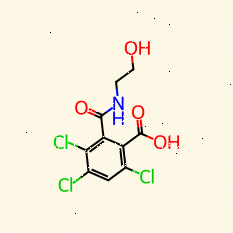 O=C(O)c1c(Cl)cc(Cl)c(Cl)c1C(=O)NCCO